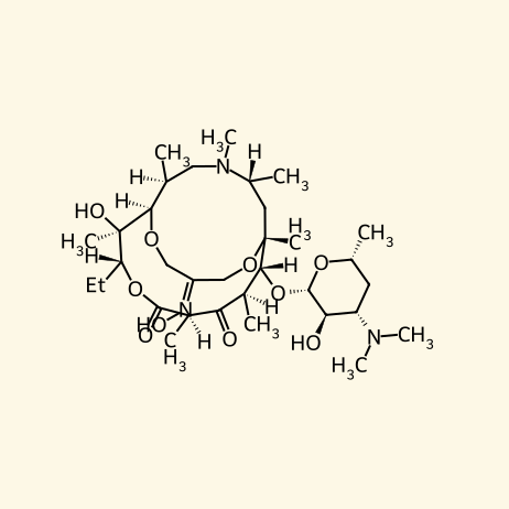 CC[C@H]1OC(=O)[C@H](C)C(=O)[C@H](C)[C@@H](O[C@@H]2O[C@H](C)C[C@H](N(C)C)[C@H]2O)[C@@]2(C)C[C@@H](C)N(C)C[C@H](C)[C@@H](OC/C(=N\O)CO2)[C@]1(C)O